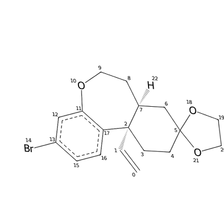 C=C[C@@]12CCC3(C[C@@H]1CCOc1cc(Br)ccc12)OCCO3